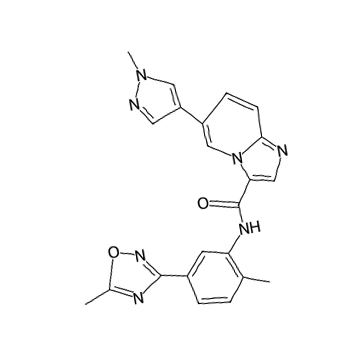 Cc1nc(-c2ccc(C)c(NC(=O)c3cnc4ccc(-c5cnn(C)c5)cn34)c2)no1